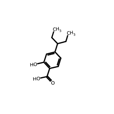 CCC(CC)c1ccc(C(=O)O)c(O)c1